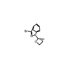 Brc1nn(C2NCCO2)c2ccccc12